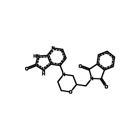 O=C1c2ccccc2C(=O)N1CC1CN(c2ccnc3[nH]c(=O)[nH]c23)CCO1